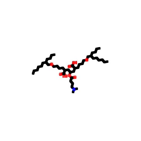 CCCCCCC(CCCC)COCCCCC(CC(CC(CCCCOCC(CCCC)CCCCCC)C(=O)O)OC(=O)CCCN(C)C)C(=O)O